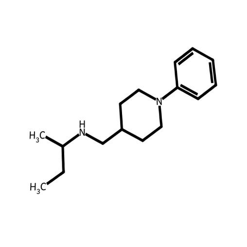 CCC(C)NCC1CCN(c2ccccc2)CC1